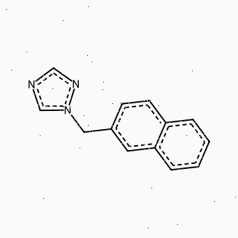 c1ccc2cc(Cn3cncn3)ccc2c1